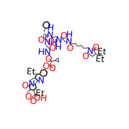 CCc1c2c(nc3ccc(OC(=O)C(OCNC(=O)CNC(=O)[C@H](Cc4ccccc4)NC(=O)CNC(=O)CNC(=O)CCCCCN4C(=O)CC(C(C)(CC)CC)C4=O)C4CC4)cc13)-c1cc3c(c(=O)n1C2)COC(=O)C3(O)CC